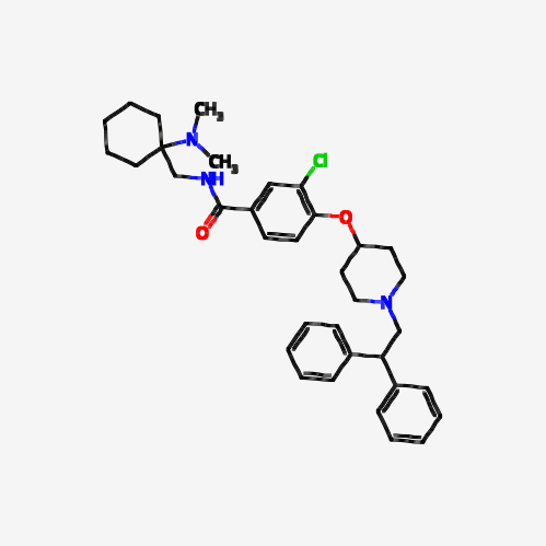 CN(C)C1(CNC(=O)c2ccc(OC3CCN(CC(c4ccccc4)c4ccccc4)CC3)c(Cl)c2)CCCCC1